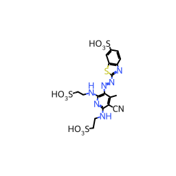 Cc1c(C#N)c(NCCS(=O)(=O)O)nc(NCCS(=O)(=O)O)c1N=Nc1nc2ccc(S(=O)(=O)O)cc2s1